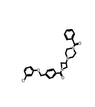 O=C(c1ccccc1)N1CCN(C2CN(C(=O)c3ccc(COc4cccc(Cl)c4)cc3)C2)CC1